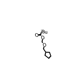 CCC(C)C(=O)OCOCC1CCCC1